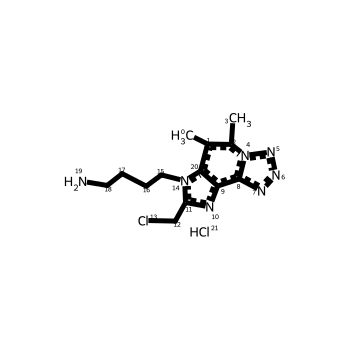 Cc1c(C)n2nnnc2c2nc(CCl)n(CCCCN)c12.Cl